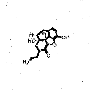 C=CCC1C[C@@]2(O)[C@H]3Cc4ccc(O)c5c4[C@@]2(CCN3)C(O5)C1=O